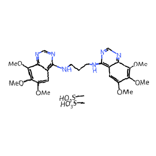 COc1cc2c(NCCCNc3ncnc4c(OC)c(OC)c(OC)cc34)ncnc2c(OC)c1OC.CS(=O)(=O)O.CS(=O)(=O)O